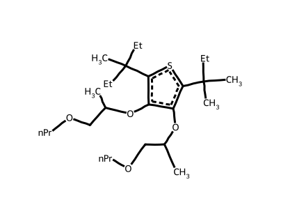 CCCOCC(C)Oc1c(C(C)(C)CC)sc(C(C)(CC)CC)c1OC(C)COCCC